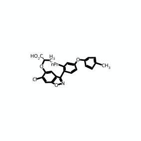 CCCc1cc(Oc2ccc(C)cc2)ccc1-c1noc2cc(Cl)c(O[C@@H](C)C(=O)O)cc12